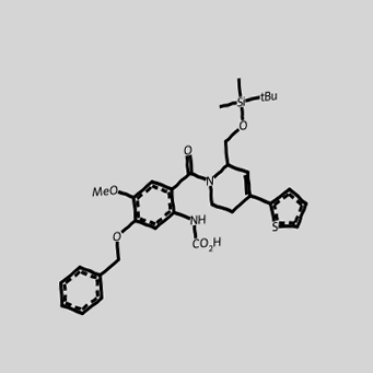 COc1cc(C(=O)N2CCC(c3cccs3)=CC2CO[Si](C)(C)C(C)(C)C)c(NC(=O)O)cc1OCc1ccccc1